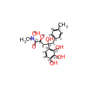 Cc1ccc(C[C@@](O)(CC(=O)C(=O)N(C)O)c2ccc(O)c(O)c2O)cc1